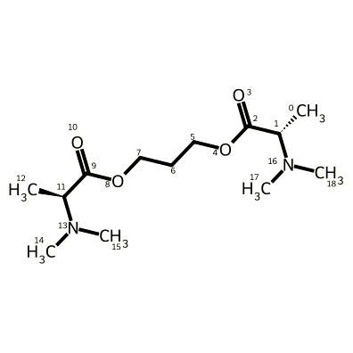 C[C@@H](C(=O)OCCCOC(=O)[C@H](C)N(C)C)N(C)C